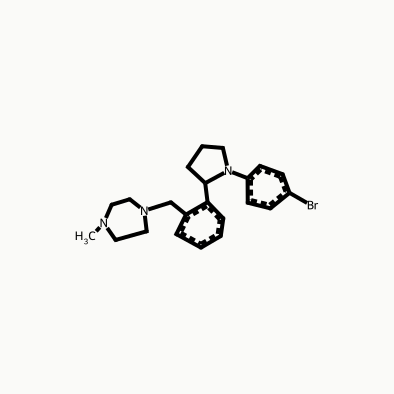 CN1CCN(Cc2ccccc2C2CCCN2c2ccc(Br)cc2)CC1